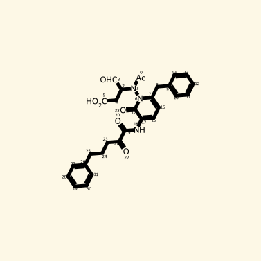 CC(=O)N(C(C=O)CC(=O)O)n1c(Cc2ccccc2)ccc(NC(=O)C(=O)CCCc2ccccc2)c1=O